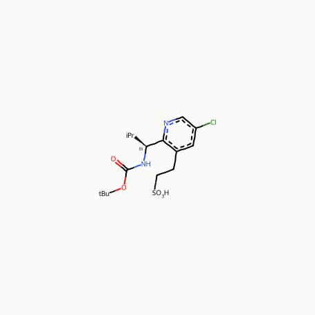 CC(C)[C@H](NC(=O)OC(C)(C)C)c1ncc(Cl)cc1CCS(=O)(=O)O